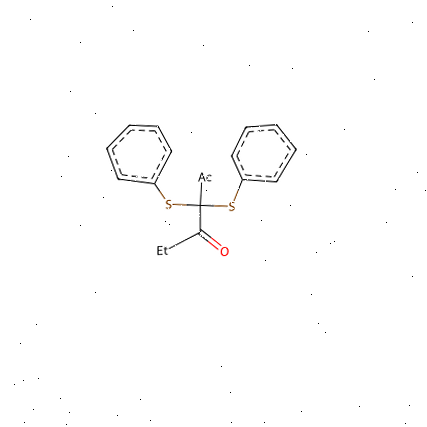 CCC(=O)C(Sc1ccccc1)(Sc1ccccc1)C(C)=O